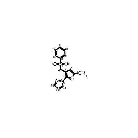 Cc1cc(CS(=O)(=O)c2ccccc2)c(-n2cncn2)o1